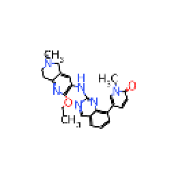 CCOc1nc2c(cc1Nc1ncc3cccc(-c4ccc(=O)n(C)c4)c3n1)CN(C)CC2